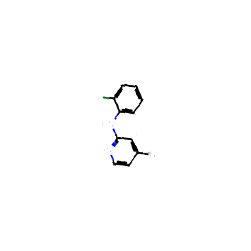 O=Nc1ccnc(Nc2ccccc2F)c1